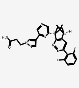 CC1(C)[C@H]2CC[C@]1(c1cncc(-c3cnn(CCC(N)=O)c3)n1)c1nnc(-c3c(F)cccc3F)cc12